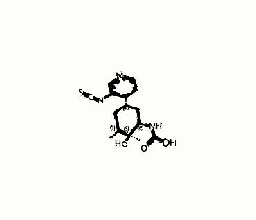 C[C@H]1C[C@H](c2ccncc2N=C=S)C[C@@H](NC(=O)O)[C@@]1(C)O